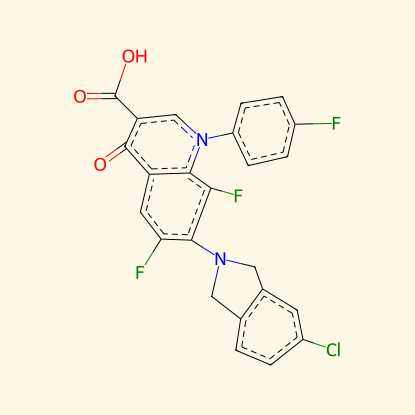 O=C(O)c1cn(-c2ccc(F)cc2)c2c(F)c(N3Cc4ccc(Cl)cc4C3)c(F)cc2c1=O